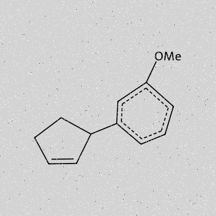 COc1cccc(C2C=CCC2)c1